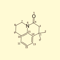 CC1(C)CC(=O)N2CCCc3cccc1c32